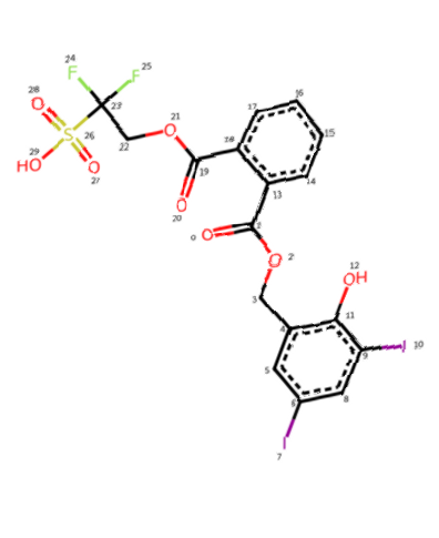 O=C(OCc1cc(I)cc(I)c1O)c1ccccc1C(=O)OCC(F)(F)S(=O)(=O)O